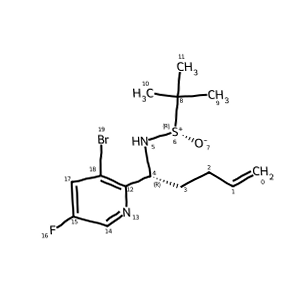 C=CCC[C@@H](N[S@@+]([O-])C(C)(C)C)c1ncc(F)cc1Br